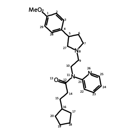 COc1ccc(C2CCN(CCN(C(=O)CCC3CCCC3)c3ccccn3)C2)cc1